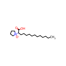 CCCCCCCCCCCCC(C(=O)O)[N+]1([O-])CCCC1